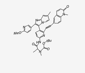 COc1ccc(-c2nc3cc(C)ccn3c2-c2ccc(NC(=O)C(C)N(C)C(=O)OC(C)(C)C)nc2C#Cc2ccc3c(ccc(=O)n3C)c2)cn1